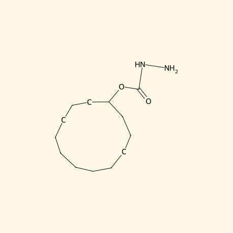 NNC(=O)OC1CCCCCCCCCCC1